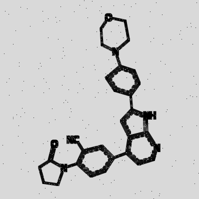 N#Cc1cc(-c2ccnc3[nH]c(-c4ccc(N5CCOCC5)cc4)cc23)ccc1N1CCCC1=O